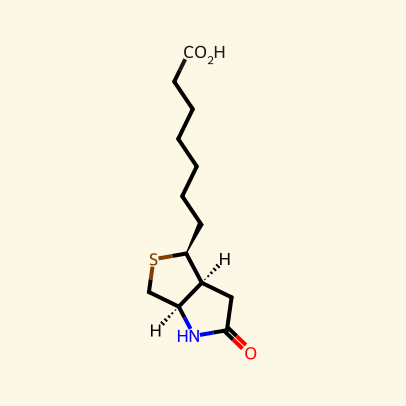 O=C(O)CCCCCC[C@@H]1SC[C@@H]2NC(=O)C[C@@H]21